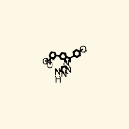 CNc1cc(-n2cc(-c3ccc(OC)cc3)c3ccc(-c4cccc([N+](=O)[O-])c4)cc32)ncn1